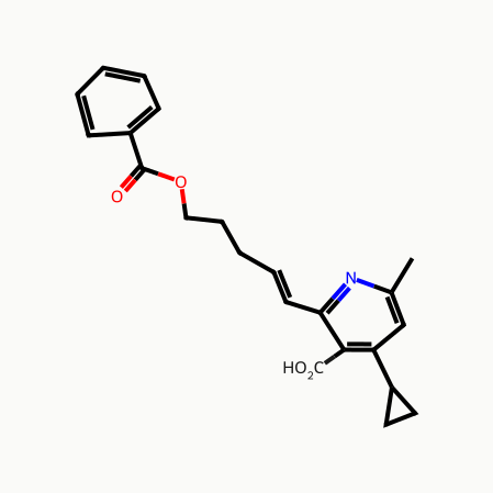 Cc1cc(C2CC2)c(C(=O)O)c(/C=C/CCCOC(=O)c2ccccc2)n1